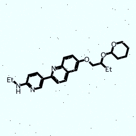 CCNc1ccc(-c2ccc3cc(OCC(CC)OC4CCCCO4)ccc3n2)cn1